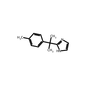 Cc1ccc(C(C)(C)c2ncc[nH]2)cc1